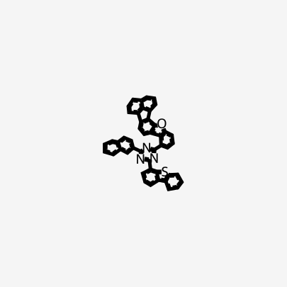 c1ccc2cc(-c3nc(-c4cccc5c4sc4ccccc45)nc(-c4cccc5oc6c7c(ccc6c45)-c4cccc5cccc-7c45)n3)ccc2c1